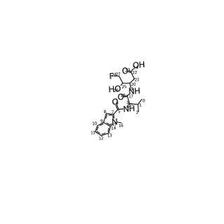 CC(C)[C@H](NC(=O)c1cc2ccccc2n1C)C(=O)NC(CC(=O)O)C(O)CF